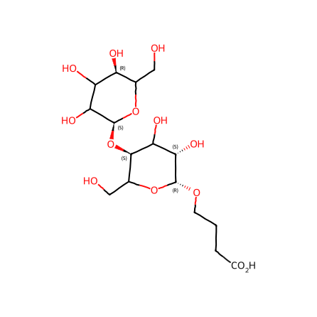 O=C(O)CCCO[C@@H]1OC(CO)[C@@H](O[C@@H]2OC(CO)[C@H](O)C(O)C2O)C(O)[C@@H]1O